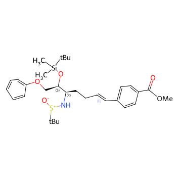 COC(=O)c1ccc(/C=C/CC[C@@H](N[S+]([O-])C(C)(C)C)[C@@H](COc2ccccc2)O[Si](C)(C)C(C)(C)C)cc1